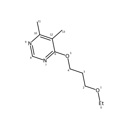 CCOCCCOc1ncnc(C)c1C